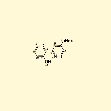 CCCCCCc1ccnc(-c2ccccc2O)n1